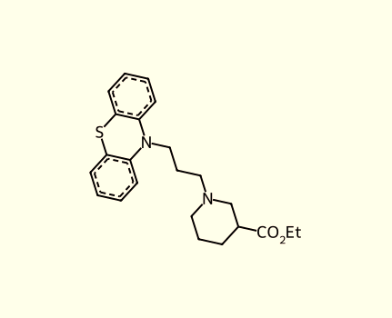 CCOC(=O)C1CCCN(CCCN2c3ccccc3Sc3ccccc32)C1